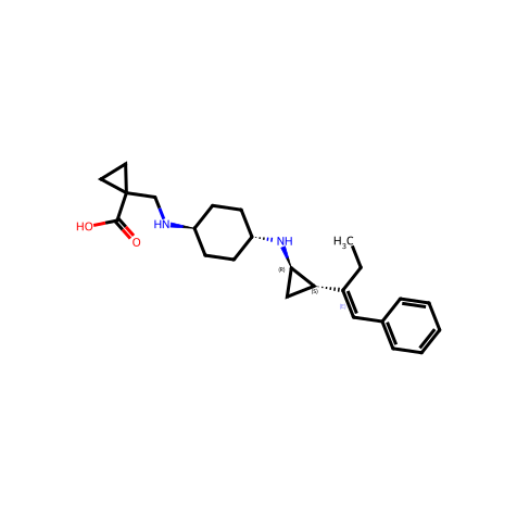 CC/C(=C\c1ccccc1)[C@@H]1C[C@H]1N[C@H]1CC[C@H](NCC2(C(=O)O)CC2)CC1